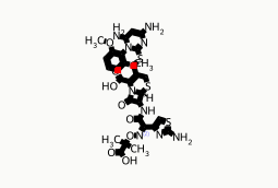 COc1cccc(OC)c1N1C(SCC2=C(C(=O)O)N3C(=O)C(NC(=O)/C(=N\OC(C)(C)C(=O)O)c4csc(N)n4)[C@@H]3SC2)=NC(N)=CC1N